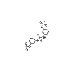 CCS(=O)(=O)Oc1cccc(NC(=O)Nc2cccc(OS(C)(=O)=O)c2)c1